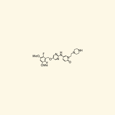 COc1cc(OC)c(F)c(COc2cnc(Nc3ccc(=O)n(CCN4CCNCC4)c3)nc2)c1F